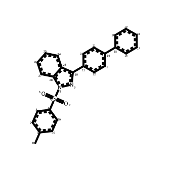 Cc1ccc(S(=O)(=O)n2nc(-c3ccc(-c4ccccc4)cc3)c3ccccc32)cc1